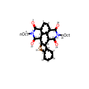 CCCCCCCCN1C(=O)c2ccc3c4c(c5c(sc6ccccc65)c(c24)C1=O)C(=O)N(CCCCCCCC)C3=O